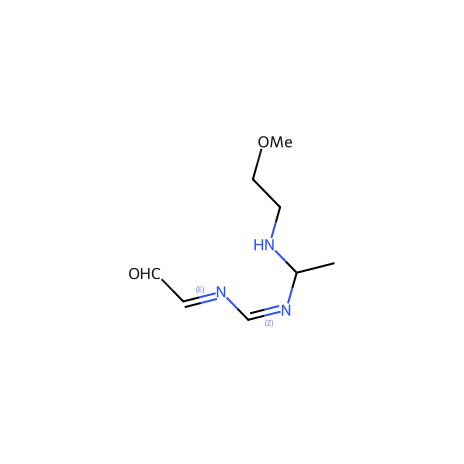 COCCNC(C)/N=C\N=C\C=O